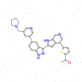 CC(=O)c1ccc(-c2cncc3[nH]c(-c4n[nH]c5ccc(-c6cncc(CN7CCCC7)c6)cc45)cc23)s1